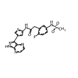 CS(=O)(=O)Nc1ccc(F)c(CC(=O)Nc2cc(-c3n[nH]c4nccnc34)cs2)c1